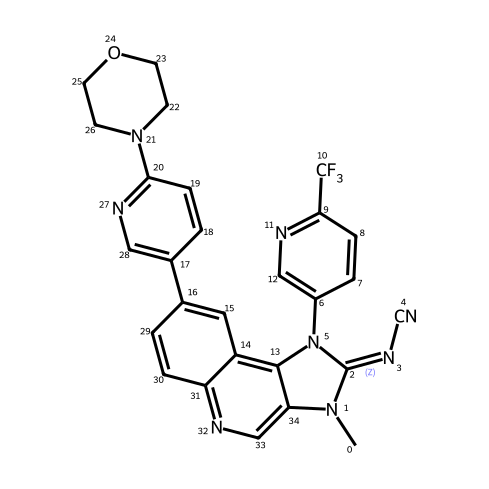 Cn1/c(=N/C#N)n(-c2ccc(C(F)(F)F)nc2)c2c3cc(-c4ccc(N5CCOCC5)nc4)ccc3ncc21